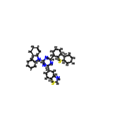 C1=Cc2c(c3ccccc3n2-c2nc(-c3ccc4scnc4c3)nc(-c3cccc4c3sc3ccccc34)n2)CC1